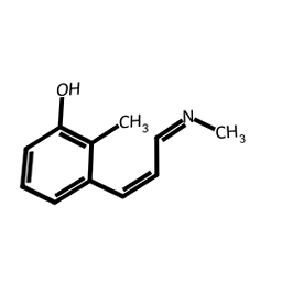 C/N=C\C=C/c1cccc(O)c1C